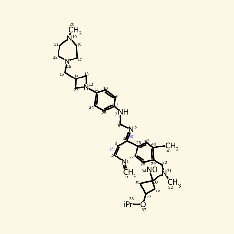 C=N/C=C\C(=N/CNc1ccc(N2CC(CN3CCN(C)CC3)C2)cc1)c1ccc(CN(C)C2(N=O)CC(OC(C)C)C2)c(C)c1